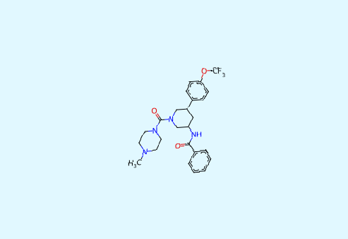 CN1CCN(C(=O)N2CC(NC(=O)c3ccccc3)CC(c3ccc(OC(F)(F)F)cc3)C2)CC1